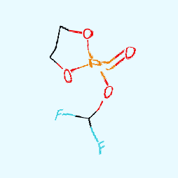 O=P1(OC(F)F)OCCO1